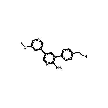 COc1cncc(-c2cnc(N)c(-c3ccc(CO)cc3)c2)c1